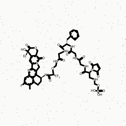 CC[C@@]1(O)C(=O)OCc2c1cc1n(c2=O)Cc2c-1nc1cc(F)c(C)c3c1c2[C@@H](NC(=O)[C@H](OCNC(=O)CNC(=O)[C@H](Cc1ccccc1)NC(=O)CNC(=O)CNC(=O)C(CNCOP(=O)(O)O)N1C(=O)C=CC1=O)C(F)(F)F)CC3